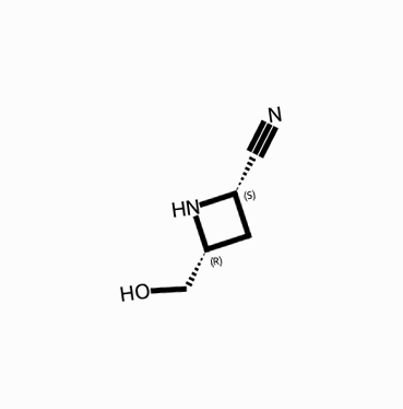 N#C[C@@H]1C[C@H](CO)N1